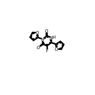 O=c1[nH]c(-c2ccco2)c(F)c(=O)n1-c1ccco1